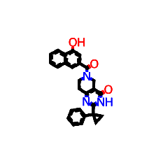 O=C(c1cc(O)c2ccccc2c1)N1CCc2nc(C3(c4ccccc4)CC3)[nH]c(=O)c2C1